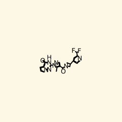 Cc1c(C(=O)N2CC(c3ccnc(C(F)F)c3)C2)cnn1-c1nn2cccc2c(=O)[nH]1